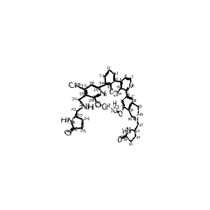 COc1cc(-c2nccc(-c3cccc(-c4cc(Cl)c(CNCC5CCC(=O)N5)c(OC)n4)c3Cl)c2Cl)cc2c1CN(CC1CCC(=O)N1)CC2